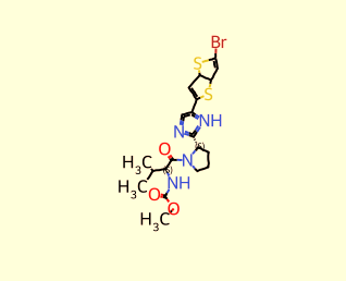 COC(=O)N[C@H](C(=O)N1CCC[C@H]1c1ncc(C2=CC3SC(Br)=CC3S2)[nH]1)C(C)C